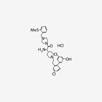 CSc1ccccc1CN1CCN(C(=O)[C@H](N)C2CCN(CCc3cc(Cl)ccc3-c3cc(O)cc(Cl)c3)CC2)CC1.Cl